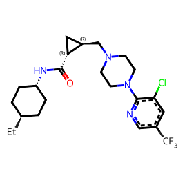 CC[C@H]1CC[C@H](NC(=O)[C@@H]2C[C@H]2CN2CCN(c3ncc(C(F)(F)F)cc3Cl)CC2)CC1